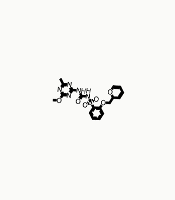 COc1nc(C)nc(NC(=O)NS(=O)(=O)c2ccccc2OCC2C=CC=CO2)n1